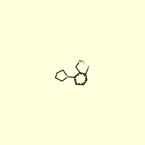 NCc1c(F)cccc1N1CCCC1